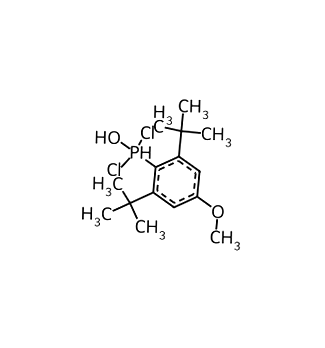 COc1cc(C(C)(C)C)c([PH](O)(Cl)Cl)c(C(C)(C)C)c1